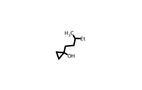 CCC(C)CCC1(O)CC1